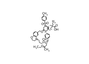 CCO[C@H](C)COCc1ccc([C@H]2C[C@@H](CC(C)(C)C(=O)O)N(S(=O)(=O)c3ccc(C)cc3)C[C@@H]2OCc2ccc3c(c2)N(CCCOC)CCO3)cc1